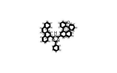 c1ccc(C2=NC(c3cc(-c4cccc5oc6ccccc6c45)c4ccccc4c3)NC(c3cc4c5ccccc5ccc4c4ccccc34)=N2)cc1